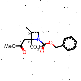 COC(=O)C[C@]1(C(=O)O)[C@@H](C)CN1C(=O)OCc1ccccc1